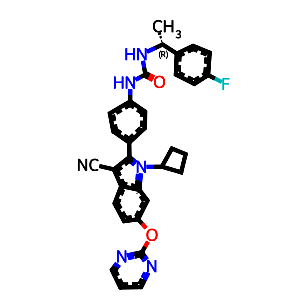 C[C@@H](NC(=O)Nc1ccc(-c2c(C#N)c3ccc(Oc4ncccn4)cc3n2C2CCC2)cc1)c1ccc(F)cc1